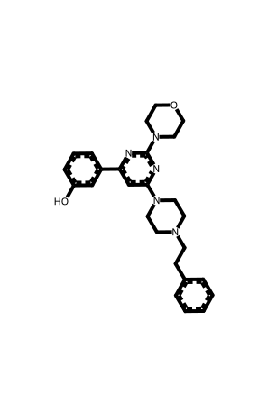 Oc1cccc(-c2cc(N3CCN(CCc4ccccc4)CC3)nc(N3CCOCC3)n2)c1